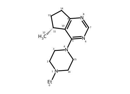 CCN1CCN(c2ncnc3c2[C@H](C)CC3)CC1